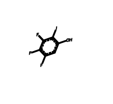 Oc1cc(F)c(F)c(F)c1I